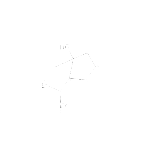 CCC(C(C)C)C1CCCC1(C)O